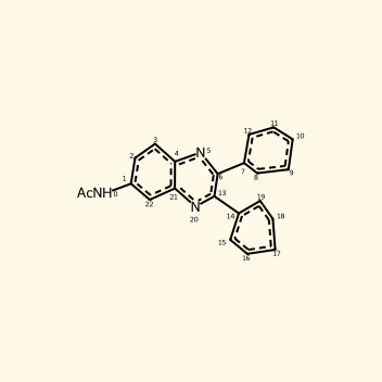 CC(=O)Nc1ccc2nc(-c3ccccc3)c(-c3ccccc3)nc2c1